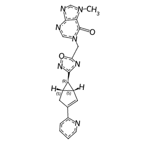 Cn1cnc2ncn(Cc3nc([C@H]4[C@@H]5C=C(c6ccccn6)C[C@@H]54)no3)c(=O)c21